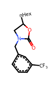 CCCCCCC1CN(Cc2cccc(C(F)(F)F)c2)C(=O)O1